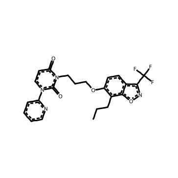 CCCc1c(OCCCn2c(=O)ccn(-c3ccccn3)c2=O)ccc2c(C(F)(F)F)noc12